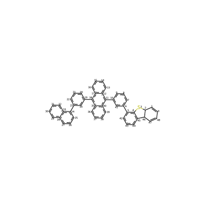 C1=CC2Sc3c(-c4cccc(-c5c6ccccc6c(-c6cccc(-c7cccc8ccccc78)c6)c6ccccc56)c4)cccc3C2C=C1